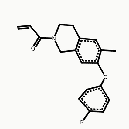 C=CC(=O)N1CCc2cc(C)c(Oc3ccc(F)cc3)cc2C1